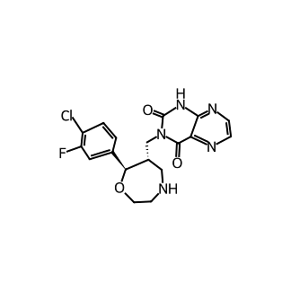 O=c1[nH]c2nccnc2c(=O)n1C[C@@H]1CNCCO[C@H]1c1ccc(Cl)c(F)c1